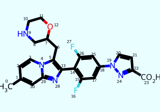 Cc1ccn2c(CC3CNCCO3)c(-c3c(F)cc(-n4ccc(C(=O)O)n4)cc3F)nc2c1